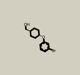 OC[C@H]1CC[C@H](Oc2cccc(Br)c2)CC1